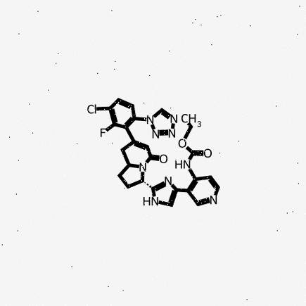 CCOC(=O)Nc1ccncc1-c1c[nH]c([C@@H]2CCC3CC(c4c(-n5cnnn5)ccc(Cl)c4F)=CC(=O)N32)n1